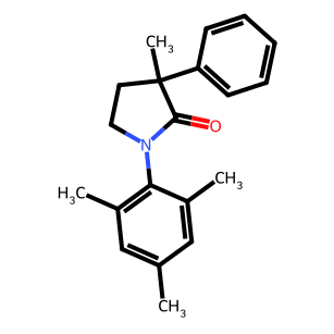 Cc1cc(C)c(N2CCC(C)(c3ccccc3)C2=O)c(C)c1